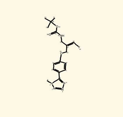 Cn1nnnc1-c1ccc(OC/C(=C\F)CNC(=O)OC(C)(C)C)cc1